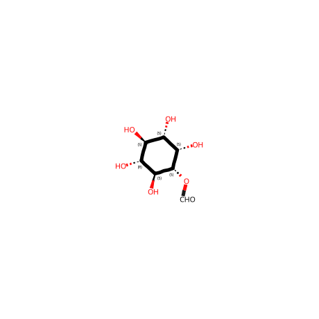 O=CO[C@@H]1[C@@H](O)[C@H](O)[C@@H](O)[C@H](O)[C@@H]1O